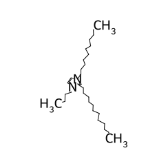 CCCCCCCCCCCCc1n(CCCCCCCCCCC)cc[n+]1CCCC